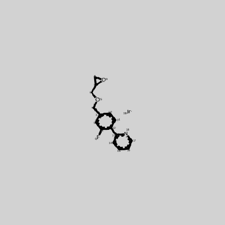 Fc1cc(COCC2CO2)ccc1-c1ccccn1.[Ir]